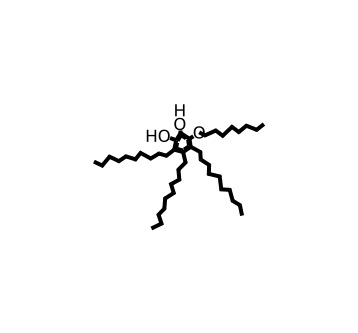 CCCCCCCCCCc1c(O)c(O)c(OCCCCCCCC)c(CCCCCCCCCC)c1CCCCCCCCCC